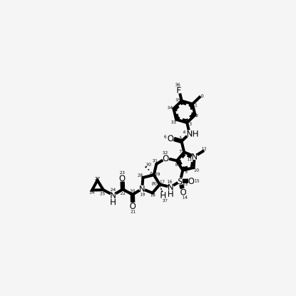 Cc1cc(NC(=O)c2c3c(cn2C)S(=O)(=O)N[C@H]2CN(C(=O)C(=O)NC4CC4)C[C@@]2(C)CO3)ccc1F